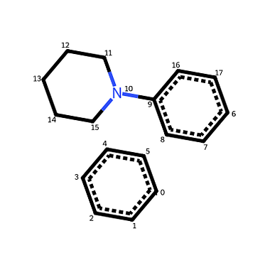 [c]1ccccc1.c1ccc(N2CCCCC2)cc1